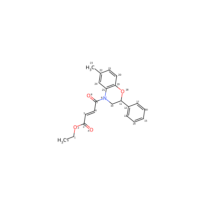 CCOC(=O)C=CC(=O)N1CC(c2ccccc2)Oc2ccc(C)cc21